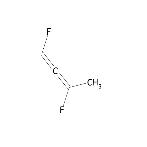 CC(F)=C=CF